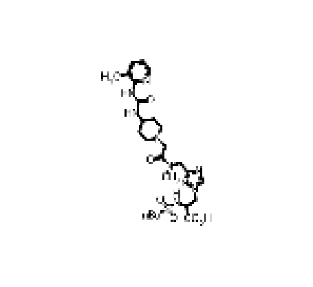 CCCCS(=O)(=O)NC(Cn1cnc(CN(C)C(=O)CN2CCC(NC(=O)Nc3ncccc3C)CC2)n1)C(=O)O